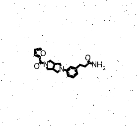 NC(=O)CCc1cccc(N2CC3CN(C(=O)c4ccco4)CC3C2)c1